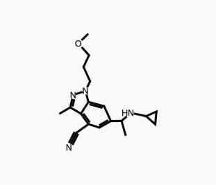 COCCCn1nc(C)c2c(C#N)cc(C(C)NC3CC3)cc21